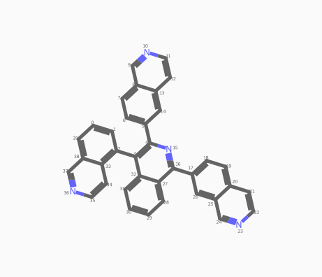 c1cc(-c2c(-c3ccc4cnccc4c3)nc(-c3ccc4ccncc4c3)c3ccccc23)c2ccncc2c1